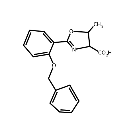 CC1OC(c2ccccc2OCc2ccccc2)=NC1C(=O)O